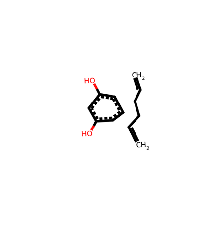 C=CCCC=C.Oc1cccc(O)c1